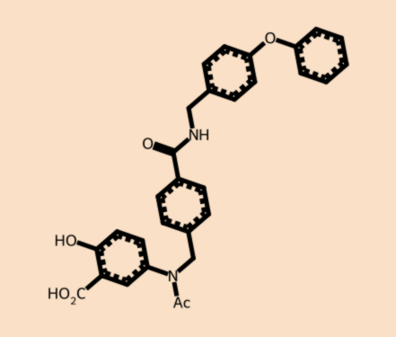 CC(=O)N(Cc1ccc(C(=O)NCc2ccc(Oc3ccccc3)cc2)cc1)c1ccc(O)c(C(=O)O)c1